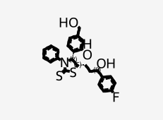 OCc1ccc([C@@H]2[C@H](CC[C@H](O)c3ccc(F)cc3)SC(=S)N2c2ccccc2)c(O)c1